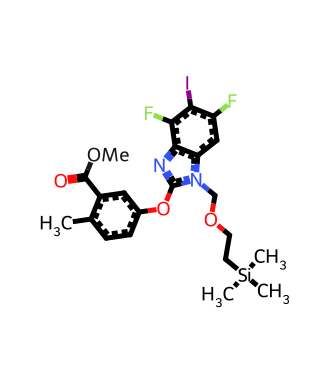 COC(=O)c1cc(Oc2nc3c(F)c(I)c(F)cc3n2COCC[Si](C)(C)C)ccc1C